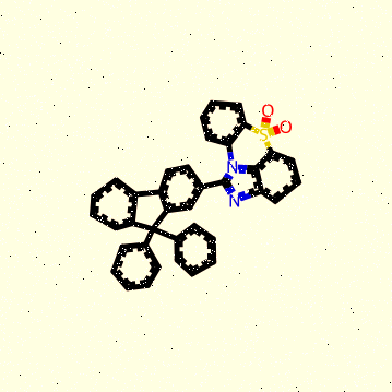 O=S1(=O)c2ccccc2-n2c(-c3ccc4c(c3)C(c3ccccc3)(c3ccccc3)c3ccccc3-4)nc3cccc1c32